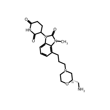 Cn1c(=O)n(C2CCC(=O)NC2=O)c2cccc(CCCN3CCO[C@@H](CN)C3)c21